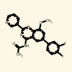 COc1cc(-c2ccc(F)c(F)c2)cc2c(NC(C)=O)nc(-c3cccnc3)nc12